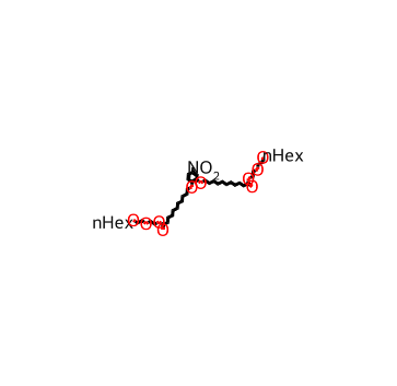 CCCCCCOCCOCCOC(=O)CCCCCCCCCCOc1ccc([N+](=O)[O-])cc1OCCCCCCCCCCC(=O)OCCOCCOCCCCCC